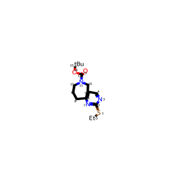 CCSc1ncc2c(n1)CCCN(C(=O)OC(C)(C)C)C2